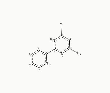 Ic1cc(I)nc(-c2ccccn2)n1